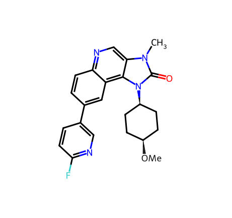 CO[C@H]1CC[C@@H](n2c(=O)n(C)c3cnc4ccc(-c5ccc(F)nc5)cc4c32)CC1